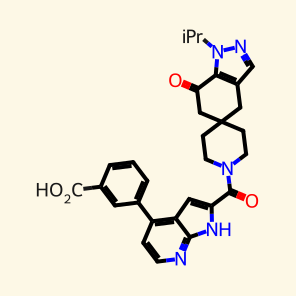 CC(C)n1ncc2c1C(=O)CC1(CCN(C(=O)c3cc4c(-c5cccc(C(=O)O)c5)ccnc4[nH]3)CC1)C2